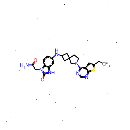 NC(=O)Cn1c(=O)[nH]c2cc(NC3CC4(CCN(c5ncnc6sc(CC(F)(F)F)cc56)C4)C3)ccc21